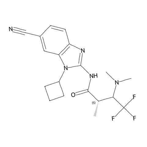 C[C@H](C(=O)Nc1nc2ccc(C#N)cc2n1C1CCC1)C(N(C)C)C(F)(F)F